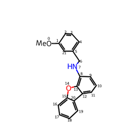 COc1cccc(CNc2cccc3c2oc2ccccc23)c1